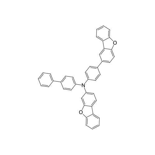 c1ccc(-c2ccc(N(c3ccc(-c4ccc5oc6ccccc6c5c4)cc3)c3ccc4c(c3)oc3ccccc34)cc2)cc1